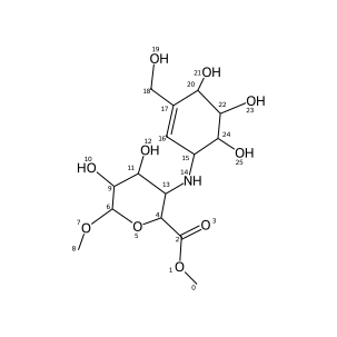 COC(=O)C1OC(OC)C(O)C(O)C1NC1C=C(CO)C(O)C(O)C1O